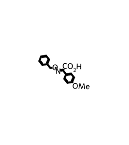 COc1ccc(C(=NOCc2ccccc2)C(=O)O)cc1